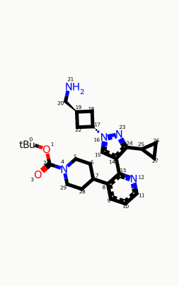 CC(C)(C)OC(=O)N1CCC(c2cccnc2-c2cn([C@H]3C[C@H](CN)C3)nc2C2CC2)CC1